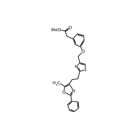 COC(=O)Cc1cccc(OCc2csc(CCc3nc(-c4ccccc4)oc3C)n2)c1